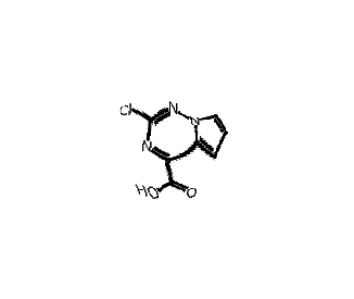 O=C(O)c1nc(Cl)nn2cccc12